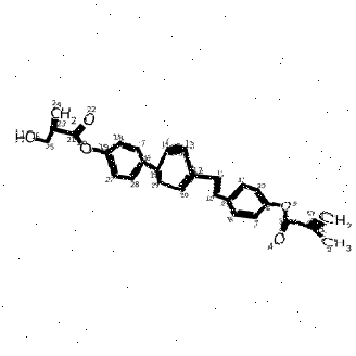 C=C(C)C(=O)Oc1ccc(/C=C/c2ccc(-c3ccc(OC(=O)C(=C)CO)cc3)cc2)cc1